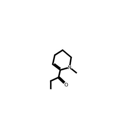 CCC(=O)C1=CCCCN1C